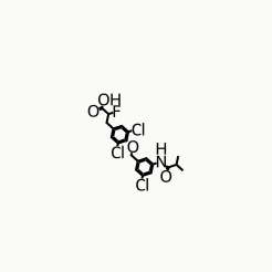 CC(C)C(=O)Nc1cc(Cl)cc(COc2c(Cl)cc(CC(F)C(=O)O)cc2Cl)c1